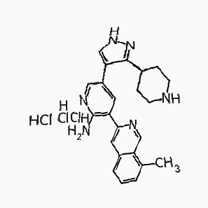 Cc1cccc2cc(-c3cc(-c4c[nH]nc4C4CCNCC4)cnc3N)ncc12.Cl.Cl.Cl